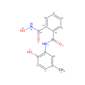 Cc1ccc(O)c(NC(=O)c2ccccc2C(=O)NO)c1